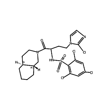 O=C(C(CCn1ccnc1Cl)NS(=O)(=O)c1c(Cl)cc(Cl)cc1Cl)N1CC[C@@H]2CCCC[C@H]2C1